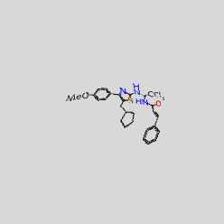 COc1ccc(-c2nc(NC(NC(=O)/C=C/c3ccccc3)C(Cl)(Cl)Cl)sc2CC2CCCC2)cc1